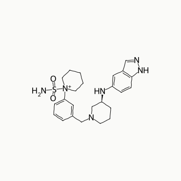 NS(=O)(=O)[N+]1(c2cccc(CN3CCC[C@H](Nc4ccc5[nH]ncc5c4)C3)c2)CCCCC1